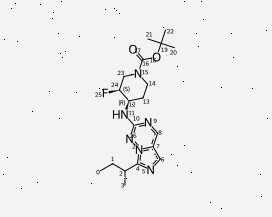 CCC(C)c1ncc2cnc(N[C@@H]3CCN(C(=O)OC(C)(C)C)C[C@@H]3F)nn12